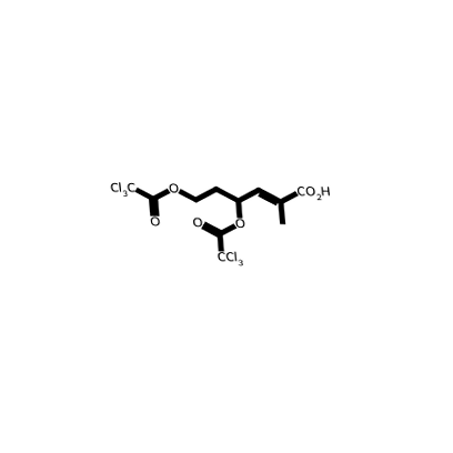 CC(=CC(CCOC(=O)C(Cl)(Cl)Cl)OC(=O)C(Cl)(Cl)Cl)C(=O)O